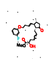 COC(=O)C(O)CC=C=CC[C@H]1C(=O)C[C@@H](C)[C@@H]1/C=C/CCOc1cccc(F)c1